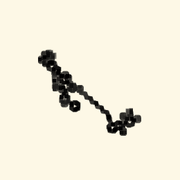 CC(C)(C)[C@H](NC(=O)c1cc2cc(C(F)(F)P(=O)(O)O)ccc2s1)C(=O)N1C[C@@H](OCCCCCCCCCCC#Cc2cccc3c2CN(C2CCC(=O)NC2=O)C3=O)C[C@H]1C(=O)N1CCO[C@H](c2ccccc2)C1